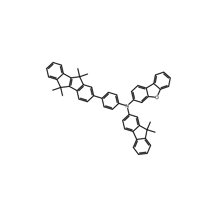 CC1(C)C2=C(c3ccccc31)C(C)(C)c1cc(-c3ccc(N(c4ccc5c(c4)C(C)(C)c4ccccc4-5)c4ccc5c(c4)oc4ccccc45)cc3)ccc12